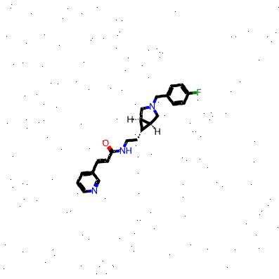 O=C(/C=C/c1cccnc1)NCC[C@@H]1[C@H]2CN(Cc3ccc(F)cc3)C[C@@H]12